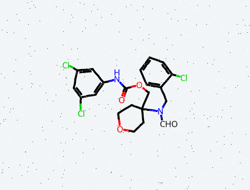 O=CN(Cc1ccccc1Cl)C1(COC(=O)Nc2cc(Cl)cc(Cl)c2)CCOCC1